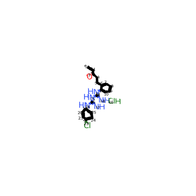 C=CC(=O)CCc1ccccc1NC(=N)NC(=N)Nc1ccc(Cl)cc1.Cl